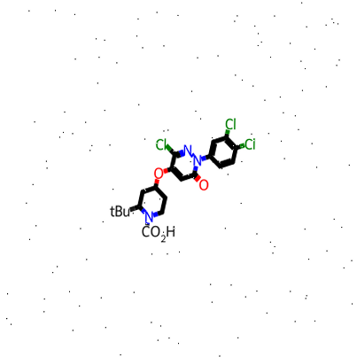 CC(C)(C)C1CC(Oc2cc(=O)n(-c3ccc(Cl)c(Cl)c3)nc2Cl)CCN1C(=O)O